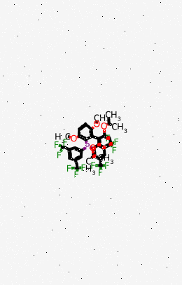 COc1ccc(OC)c(P(c2cc(C(F)(F)F)cc(C(F)(F)F)c2)c2cc(C(F)(F)F)cc(C(F)(F)F)c2)c1-c1c(OC(C)C)cccc1OC(C)C